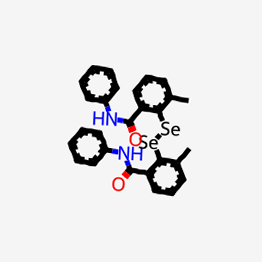 Cc1cccc(C(=O)Nc2ccccc2)c1[Se][Se]c1c(C)cccc1C(=O)Nc1ccccc1